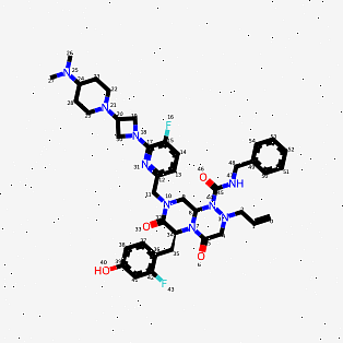 C=CCN1CC(=O)N2C(CN(Cc3ccc(F)c(N4CC(N5CCC(N(C)C)CC5)C4)n3)C(=O)[C@@H]2Cc2ccc(O)cc2F)N1C(=O)NCc1ccccc1